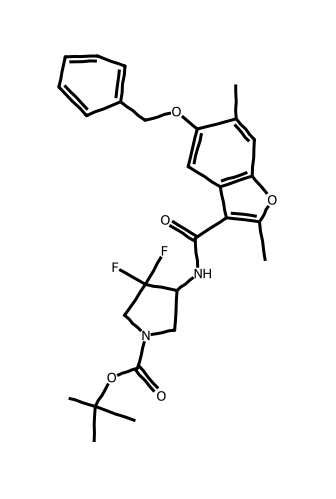 Cc1cc2oc(C)c(C(=O)NC3CN(C(=O)OC(C)(C)C)CC3(F)F)c2cc1OCc1ccccc1